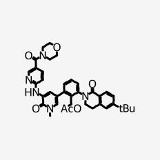 CC(=O)OCc1c(-c2cc(Nc3ccc(C(=O)N4CCOCC4)cn3)c(=O)n(C)c2)cccc1N1CCc2cc(C(C)(C)C)ccc2C1=O